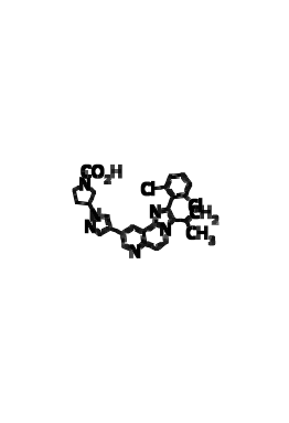 C=C(C)c1c(-c2c(Cl)cccc2Cl)nc2c3cc(-c4cnn(C5CCN(C(=O)O)C5)c4)cnc3ccn12